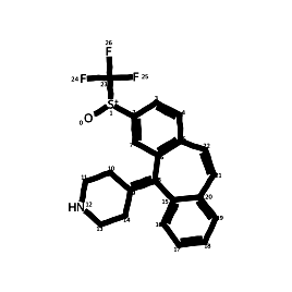 [O-][S+](c1ccc2c(c1)C(=C1CCNCC1)c1ccccc1C=C2)C(F)(F)F